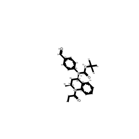 CCC(=O)N1c2ccccc2[C@H](N(C(=O)OC(C)(C)C)c2ccc(C=O)cc2)C[C@@H]1C